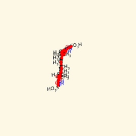 CC1=C(/C=C/C(C)=C/C=C/C(C)=C/C=C/C=C(C)/C=C/C=C(C)/C=C/C2=C(C)C(=O)C(OC(=O)CNC(=O)NCCS(=O)(=O)O)CC2(C)C)C(C)(C)CC(OC(=O)CNC(=O)NCCS(=O)(=O)O)C1=O